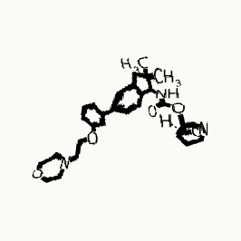 CC1(C)Cc2cc(-c3cccc(OCCN4CCOCC4)c3)ccc2C1NC(=O)O[C@H]1CN2CCC1CC2